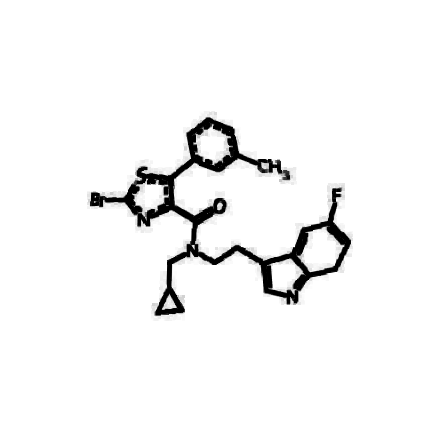 Cc1cccc(-c2sc(Br)nc2C(=O)N(CCC2=CN=C3CC=C(F)C=C23)CC2CC2)c1